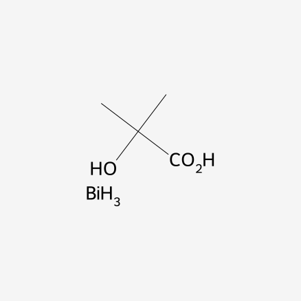 CC(C)(O)C(=O)O.[BiH3]